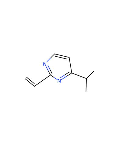 C=Cc1nccc(C(C)C)n1